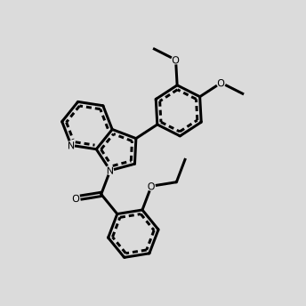 CCOc1ccccc1C(=O)n1cc(-c2ccc(OC)c(OC)c2)c2cccnc21